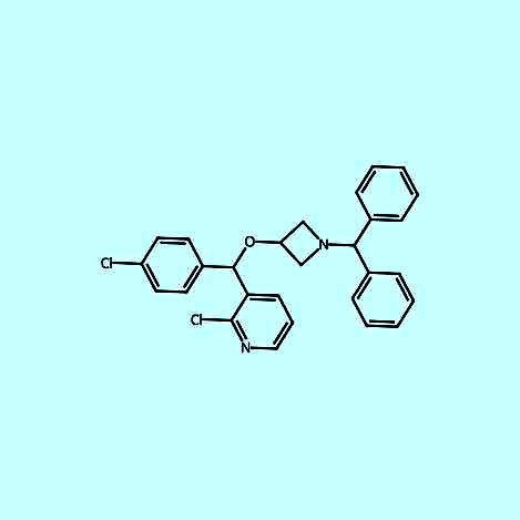 Clc1ccc(C(OC2CN(C(c3ccccc3)c3ccccc3)C2)c2cccnc2Cl)cc1